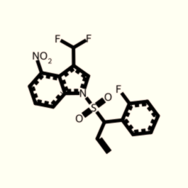 C=CC(c1ccccc1F)S(=O)(=O)n1cc(C(F)F)c2c([N+](=O)[O-])cccc21